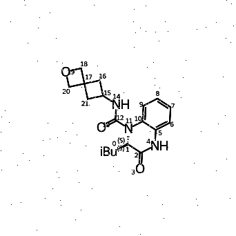 CC[C@H](C)[C@H]1C(=O)Nc2ccccc2N1C(=O)NC1CC2(COC2)C1